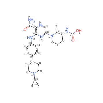 C[C@@H]1[C@H](NC(=O)O)CCCN1c1cnc(C(N)=O)c(Nc2ccc(C3CCN(C4CC4)CC3)cc2)n1